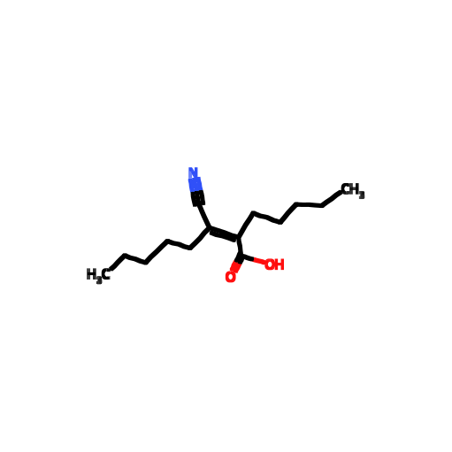 CCCCCC(C#N)=C(CCCCC)C(=O)O